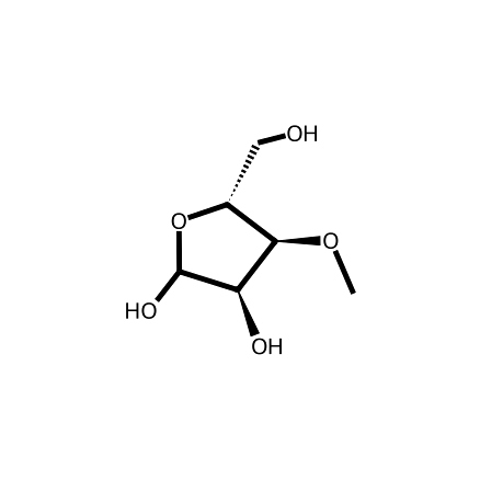 CO[C@@H]1[C@@H](CO)OC(O)[C@@H]1O